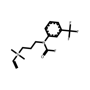 C=C[Si](C)(C)CCCN(C(=O)F)c1cccc(C(F)(F)F)c1